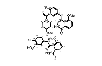 COc1cccc2c(=O)[nH]nc(Cc3ccc(F)c(C(=O)N4CCC(OC)CC4)c3)c12.COc1cccc2c(=O)[nH]nc(Cc3ccc(F)c(C(=O)O)c3)c12